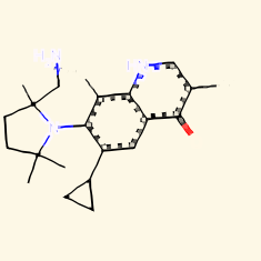 CCC1(CN)CCC(C)(C)N1c1c(C2CC2)cc2c(=O)c(C(=O)O)c[nH]c2c1OC